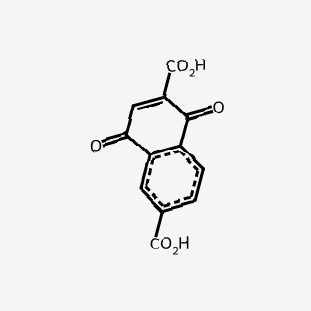 O=C(O)C1=CC(=O)c2cc(C(=O)O)ccc2C1=O